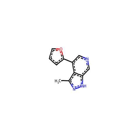 Cc1n[nH]c2cncc(-c3ccco3)c12